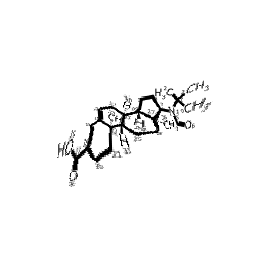 CC(C)(C)N(C=O)C1CC[C@H]2[C@@H]3CC=C4C=C(C(=O)O)CC[C@]4(C)[C@H]3CC[C@]12C